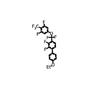 CCOc1ccc(-c2ccc(C(F)(F)Oc3cc(F)c(C(F)(F)F)c(F)c3)c(F)c2F)cc1